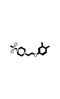 CC1C=CC(OCCN2CCN(S(C)(=O)=O)CC2)=CC1C